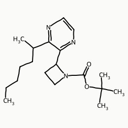 CCCCCC(C)c1nccnc1C1CCN1C(=O)OC(C)(C)C